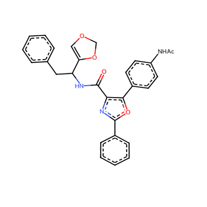 CC(=O)Nc1ccc(-c2oc(-c3ccccc3)nc2C(=O)NC(Cc2ccccc2)C2=COCO2)cc1